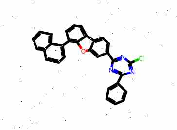 Clc1nc(-c2ccccc2)nc(-c2ccc3c(c2)oc2c(-c4cccc5ccccc45)cccc23)n1